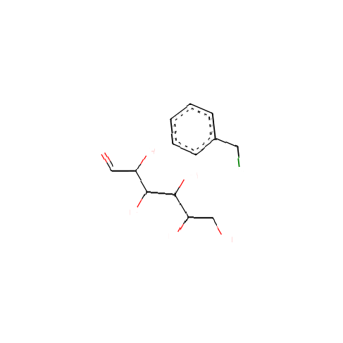 BrCc1ccccc1.O=CC(O)C(O)C(O)C(O)CO